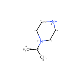 C[C@H](N1CCNCC1)C(F)(F)F